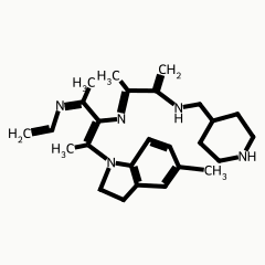 C=C/N=C(/C)C(/N=C(\C)C(=C)NCC1CCNCC1)=C(C)N1CCc2cc(C)ccc21